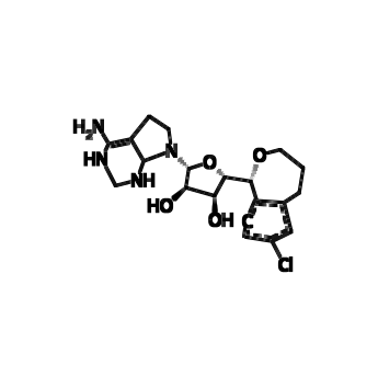 NC1=C2CCN([C@@H]3O[C@H]([C@@H]4OCCCc5cc(Cl)ccc54)[C@@H](O)[C@H]3O)C2NCN1